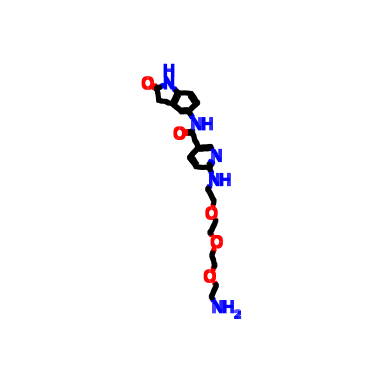 NCCOCCOCCOCCNc1ccc(C(=O)Nc2ccc3c(c2)CC(=O)N3)cn1